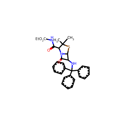 CCOC(=O)NC(=O)C1N2C(=O)C(NC(c3ccccc3)(c3ccccc3)c3ccccc3)C2SC1(C)C